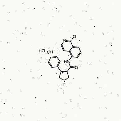 Cl.Cl.O=C(Nc1cccc2c(Cl)nccc12)C1CNCC1c1ccccc1